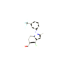 Cc1cc2c(n1-c1cccc(C(F)(F)F)c1)CCC(C=O)=C2Cl